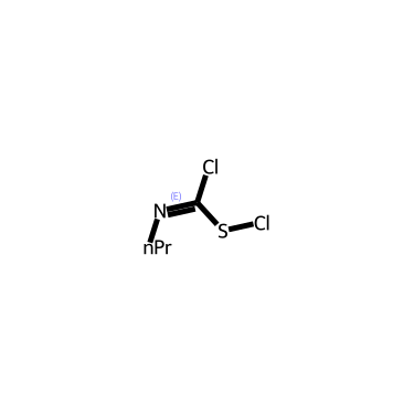 CCC/N=C(/Cl)SCl